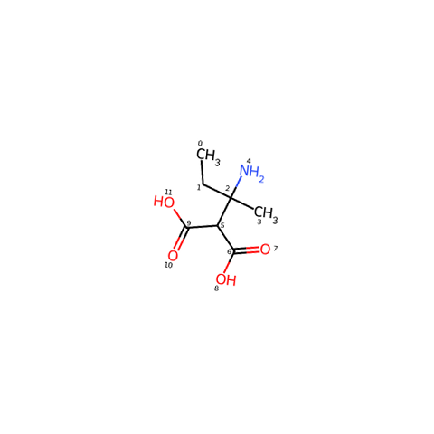 CCC(C)(N)C(C(=O)O)C(=O)O